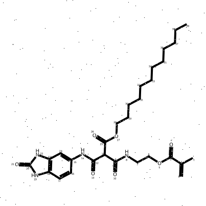 C=C(C)C(=O)OCCNC(=O)C(C(=O)Nc1ccc2[nH]c(=O)[nH]c2c1)C(=O)OCCCCCCCCCCCC